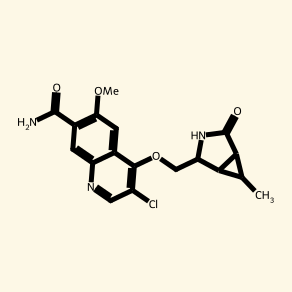 COc1cc2c(OCC3NC(=O)C4C(C)C34)c(Cl)cnc2cc1C(N)=O